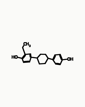 CCc1cc(C2CCC(c3ccc(O)cc3)CC2)ccc1O